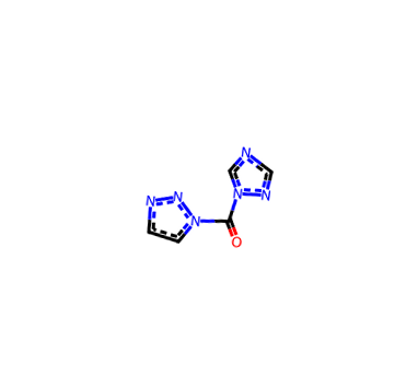 O=C(n1cncn1)n1ccnn1